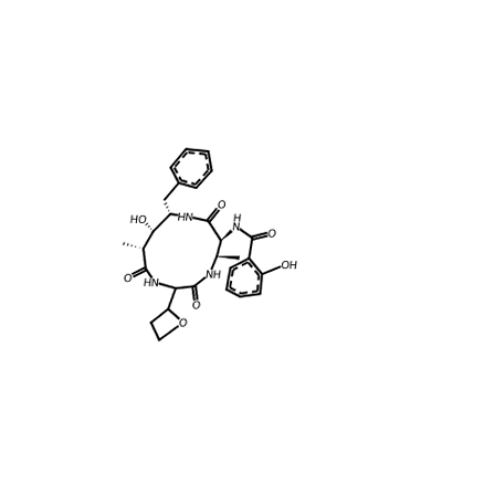 C[C@H]1NC(=O)C(C2CCO2)NC(=O)[C@H](C)[C@H](O)[C@H](Cc2ccccc2)NC(=O)[C@H]1NC(=O)c1ccccc1O